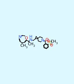 C=C(NCC1CC12CCN(C(=O)c1ccccc1S(C)(=O)=O)CC2)/C1=C/C(C)/C=C\N=C/CO1